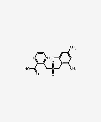 Cc1cc(C)c(CS(=O)(=O)Cc2nccnc2C(=O)O)c(C)c1